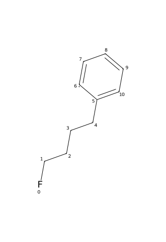 FCCCCc1[c]cccc1